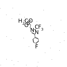 [CH2]S(=O)(=O)CCn1cc(-c2ccc(F)cc2)nc1C(F)(F)F